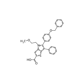 COCCn1c(-c2ccc(OCc3ccccc3)cc2)c(-c2ccccc2)c2sc(C(=O)O)cc21